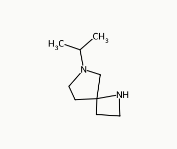 CC(C)N1CCC2(CCN2)C1